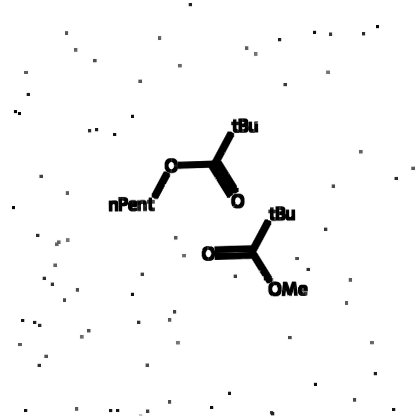 CCCCCOC(=O)C(C)(C)C.COC(=O)C(C)(C)C